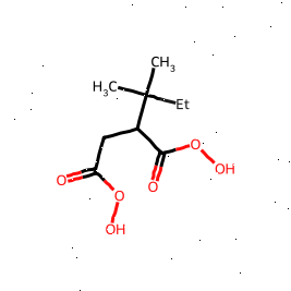 CCC(C)(C)C(CC(=O)OO)C(=O)OO